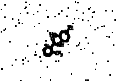 CCN1CCC(NC(=O)c2ncccc2C(F)(F)F)C(O)C1